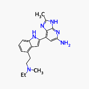 CCN(C)CCc1cccc2[nH]c(-c3cc(N)nc4[nH]c(C)nc34)cc12